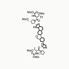 CC[C@@H](OC)[C@H](NC(=O)OC)C(=O)N1C[C@@H](COC)C[C@H]1c1nc2ccc3cc4c(cc3c2[nH]1)OCc1cc(-c2cnc([C@@H]3CC[C@H](C)N3C(=O)[C@@H](NC(=O)OC)[C@@H](C)OC)[nH]2)ccc1-4